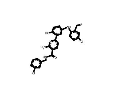 Nc1nc(-c2cc(Nc3ccc(Cl)cc3CF)ccc2O)ccc1C(=O)NCc1cccc(Cl)c1